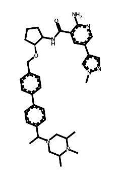 CC(c1ccc(-c2ccc(CO[C@H]3CCCC3NC(=O)c3cc(-c4cnn(C)c4)cnc3N)cc2)cc1)N1CC(C)N(C)C(C)C1